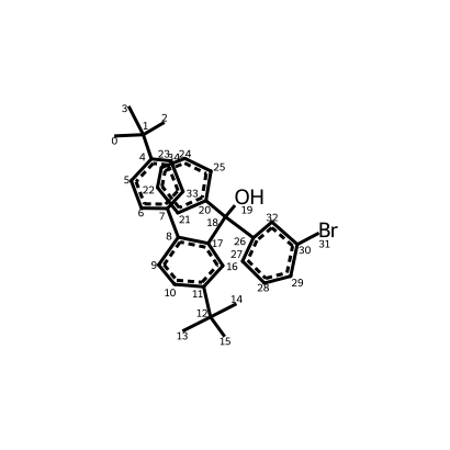 CC(C)(C)c1ccc(-c2ccc(C(C)(C)C)cc2C(O)(c2ccccc2)c2cccc(Br)c2)cc1